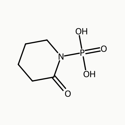 O=C1CCCCN1P(=O)(O)O